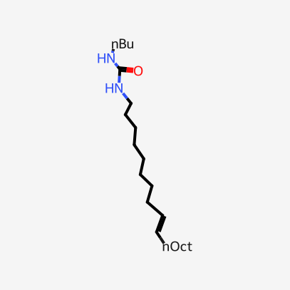 CCCCCCCCC=CCCCCCCCCNC(=O)NCCCC